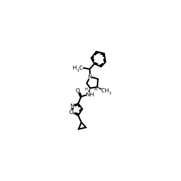 CC(c1ccccc1)N1C[C@@H](C)[C@@H](NC(=O)c2cc(C3CC3)on2)C1